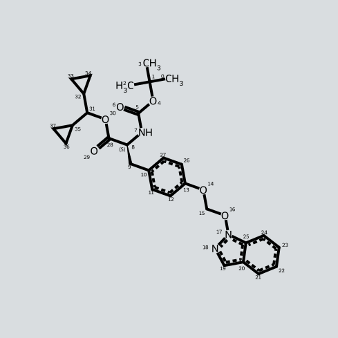 CC(C)(C)OC(=O)N[C@@H](Cc1ccc(OCOn2ncc3ccccc32)cc1)C(=O)OC(C1CC1)C1CC1